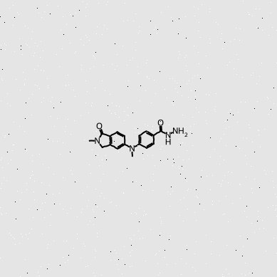 CN1Cc2cc(N(C)c3ccc(C(=O)NN)cc3)ccc2C1=O